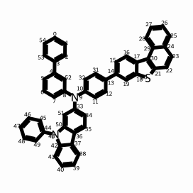 c1ccc(-c2cccc(N(c3ccc(-c4ccc5c(c4)sc4ccc6ccccc6c45)cc3)c3ccc4c5ccccc5n(-c5ccccc5)c4c3)c2)cc1